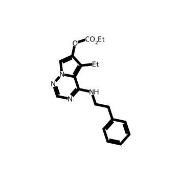 CCOC(=O)Oc1cn2ncnc(NCCc3ccccc3)c2c1CC